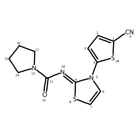 N#Cc1ccc(-n2ccsc2=NC(=O)N2CCCC2)s1